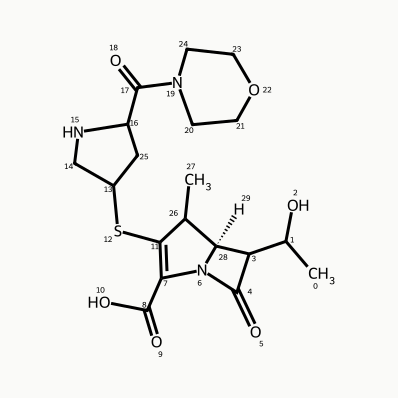 CC(O)C1C(=O)N2C(C(=O)O)=C(SC3CNC(C(=O)N4CCOCC4)C3)C(C)[C@@H]12